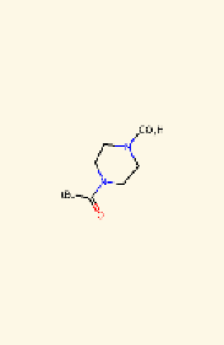 CC(C)(C)C(=O)N1CCN(C(=O)O)CC1